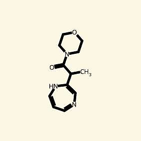 CC(C(=O)N1CCOCC1)C1=CN=CC=CN1